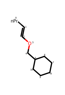 CCCC=COCC1CC[CH]CC1